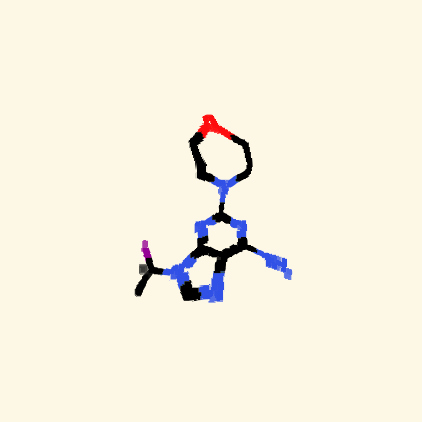 C[C@@H](I)n1cnc2c(N)nc(N3CCOCC3)nc21